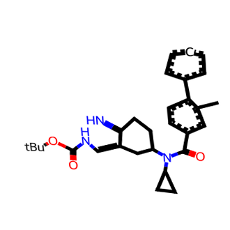 Cc1cc(C(=O)N(C2CC2)C2CCC(=N)/C(=C\NC(=O)OC(C)(C)C)C2)ccc1-c1ccccc1